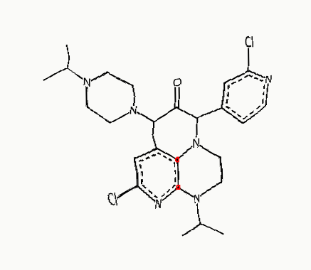 CC(C)N1CCN(C(C(=O)C(c2ccnc(Cl)c2)N2CCN(C(C)C)CC2)c2ccnc(Cl)c2)CC1